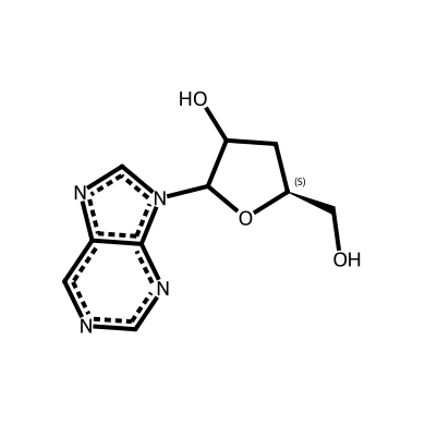 OC[C@@H]1CC(O)C(n2cnc3cncnc32)O1